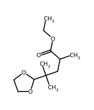 CCOC(=O)C(C)CC(C)(C)C1OCCO1